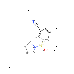 N#Cc1cccc([S@+]([O-])N2CCCC2)c1